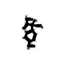 COC(=O)[C@](C)(N)c1ccc(OC)cc1